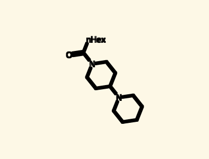 CCCCCCC(=O)N1CCC(N2CCCCC2)CC1